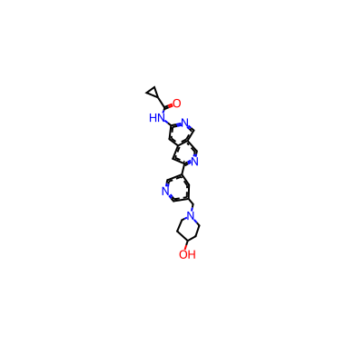 O=C(Nc1cc2cc(-c3cncc(CN4CCC(O)CC4)c3)ncc2cn1)C1CC1